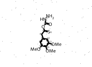 COc1cc(CC(=S)OC(=O)NN)cc(OC)c1OC